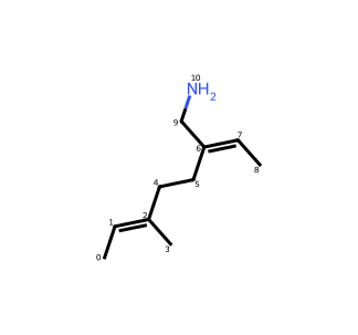 C/C=C(\C)CC/C(=C\C)CN